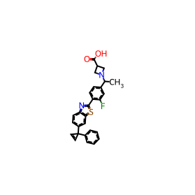 CC(c1ccc(-c2nc3ccc(C4(c5ccccc5)C=C4)cc3s2)c(F)c1)N1CC(C(=O)O)C1